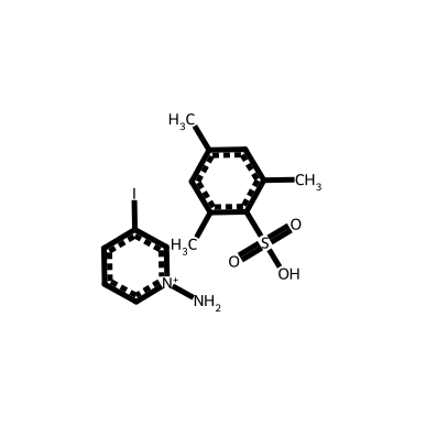 Cc1cc(C)c(S(=O)(=O)O)c(C)c1.N[n+]1cccc(I)c1